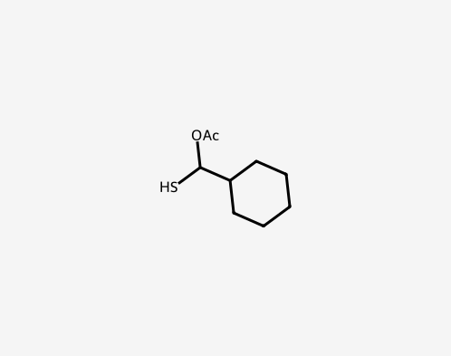 CC(=O)OC(S)C1CCCCC1